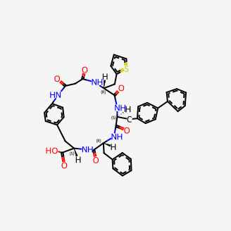 O=C1CC(=O)N[C@H](Cc2cccs2)C(=O)N[C@@H](Cc2ccc(-c3ccccc3)cc2)C(=O)N[C@H](Cc2ccccc2)C(=O)N[C@H](C(=O)O)Cc2ccc(cc2)N1